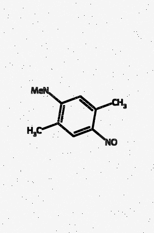 CNc1cc(C)c(N=O)cc1C